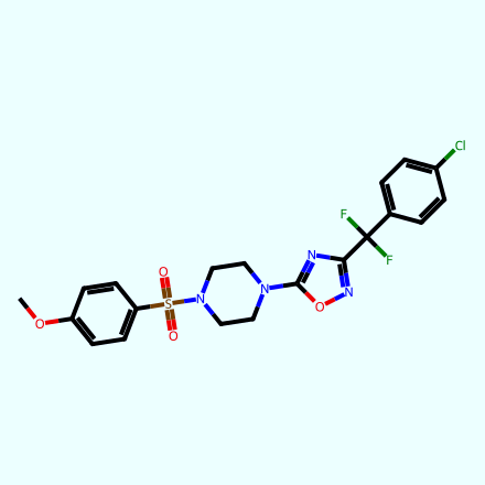 COc1ccc(S(=O)(=O)N2CCN(c3nc(C(F)(F)c4ccc(Cl)cc4)no3)CC2)cc1